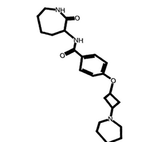 O=C(NC1CCCCNC1=O)c1ccc(OC2CC(N3CCCCC3)C2)cc1